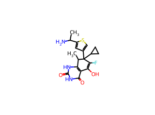 CC(N)c1cc(C2(C3CC3)C(F)=C(O)c3c([nH]c(=O)[nH]c3=O)C2C)cs1